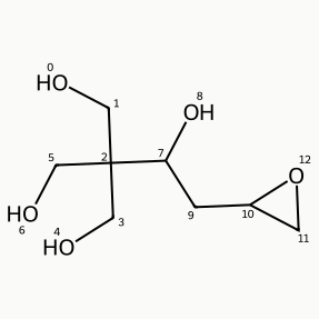 OCC(CO)(CO)C(O)CC1CO1